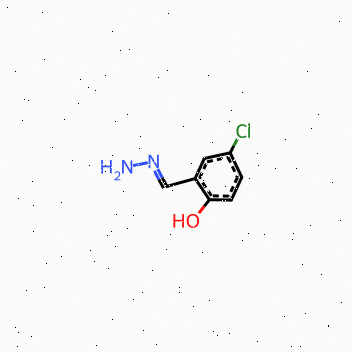 N/N=C/c1cc(Cl)ccc1O